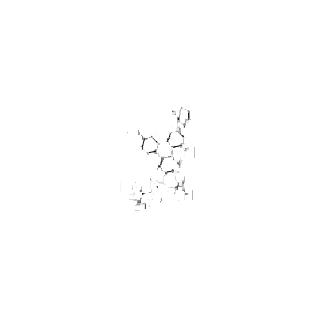 CC1(C)C[C@@H](NC(=O)[C@H](O)C(F)(F)F)c2cc(-c3ccc(Cl)cc3)c(-c3ccc(-n4cccn4)cc3Cl)nc2O1